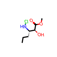 CCC[C@H](NCl)[C@H](O)C(=O)OC